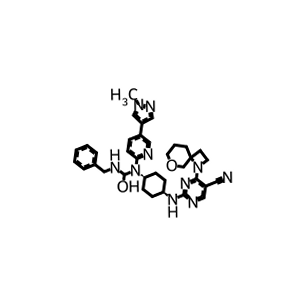 Cn1cc(-c2ccc(N(C(O)NCc3ccccc3)[C@H]3CC[C@H](Nc4ncc(C#N)c(N5CCC56CCCOC6)n4)CC3)nc2)cn1